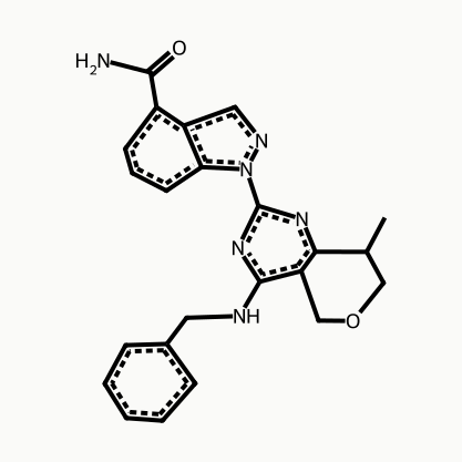 CC1COCc2c(NCc3ccccc3)nc(-n3ncc4c(C(N)=O)cccc43)nc21